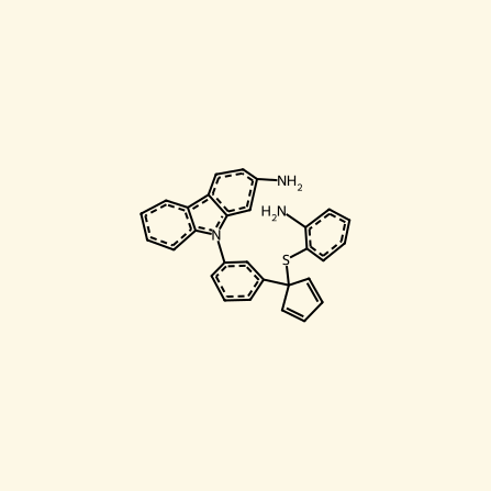 Nc1ccc2c3ccccc3n(-c3cccc(C4(Sc5ccccc5N)C=CC=C4)c3)c2c1